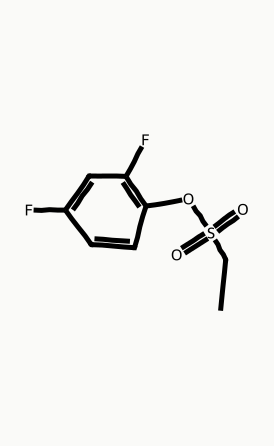 CCS(=O)(=O)Oc1ccc(F)cc1F